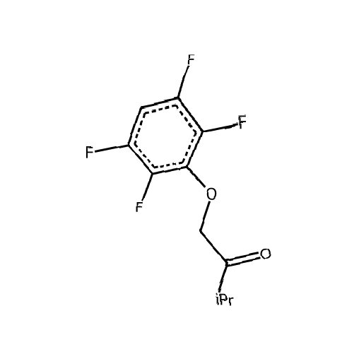 CC(C)C(=O)COc1c(F)c(F)cc(F)c1F